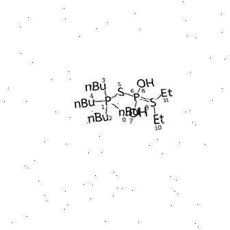 CCCCP(CCCC)(CCCC)(CCCC)SP(O)(O)=S(CC)CC